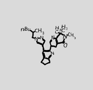 CCCCC(C)Cn1cc(-c2cc3c(nc2-c2cnc4c(c2)C(=O)N(C)C4(C)C)CCC3)cn1